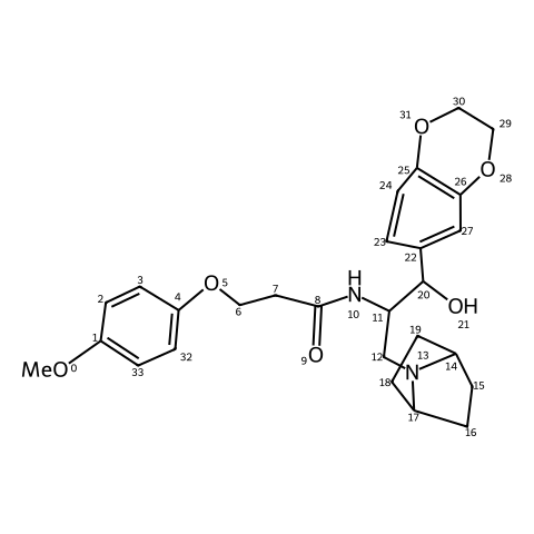 COc1ccc(OCCC(=O)NC(CN2C3CCC2CC3)C(O)c2ccc3c(c2)OCCO3)cc1